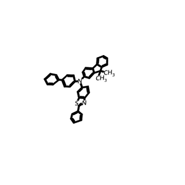 CC1(C)c2ccccc2-c2ccc(N(c3ccc(-c4ccccc4)cc3)c3ccc4nc(-c5ccccc5)sc4c3)cc21